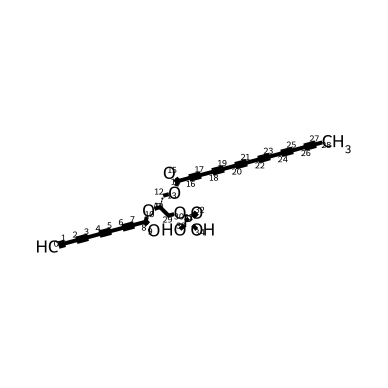 C#CC#CC#CC#CC(=O)O[C@H](COC(=O)C#CC#CC#CC#CC#CC#CC)COP(=O)(O)O